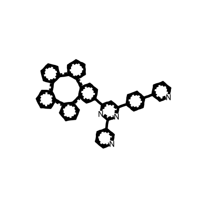 c1cncc(-c2ccc(-c3cc(-c4ccc5c6ccccc6c6ccccc6c6ccccc6c6ccccc6c5c4)nc(-c4cccnc4)n3)cc2)c1